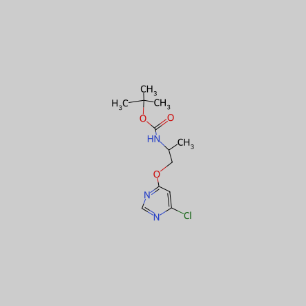 CC(COc1cc(Cl)ncn1)NC(=O)OC(C)(C)C